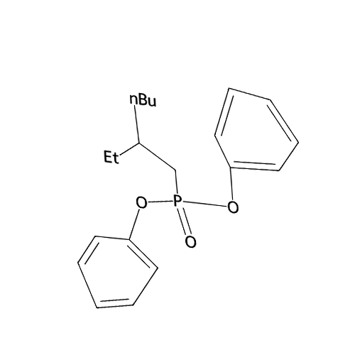 CCCCC(CC)CP(=O)(Oc1ccccc1)Oc1ccccc1